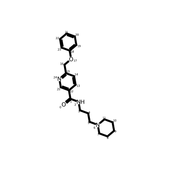 O=C(NCCCN1CCCCC1)c1ccc(COc2ccccc2)nc1